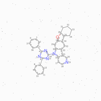 c1ccc(-c2nc(-c3ccccc3)nc(-n3c4ccncc4c4cc5c6c(oc5cc43)CCCC6)n2)cc1